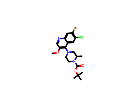 COc1cnc2cc(Br)c(Cl)cc2c1N1CCN(C(=O)OC(C)(C)C)C(C)C1